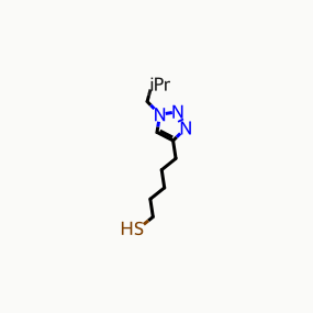 CC(C)Cn1cc(CCCCCS)nn1